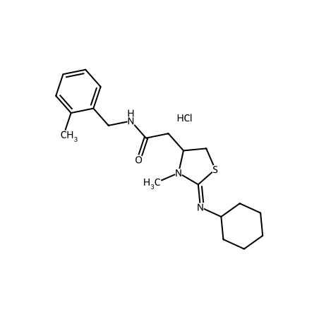 Cc1ccccc1CNC(=O)CC1CS/C(=N\C2CCCCC2)N1C.Cl